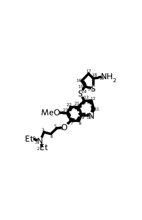 CCN(CC)CCCOc1cc2nccc(SC3=CCC(N)S3)c2cc1OC